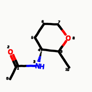 CC(=O)N[C@@H]1CCCOC1C